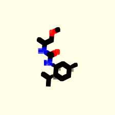 COCC(C)NC(=O)N[C@@H]1C[C@@H](C)CC[C@@H]1C(C)C